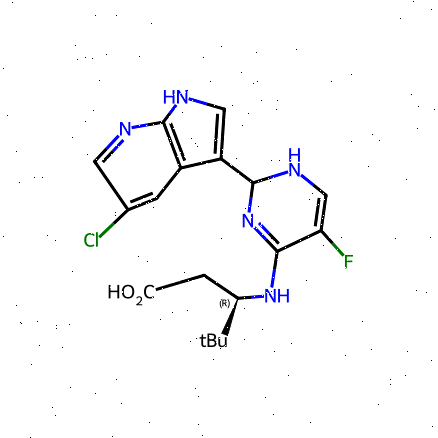 CC(C)(C)[C@@H](CC(=O)O)NC1=NC(c2c[nH]c3ncc(Cl)cc23)NC=C1F